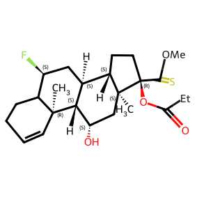 CCC(=O)O[C@]1(C(=S)OC)CC[C@H]2[C@@H]3C[C@H](F)C4CCC=C[C@]4(C)[C@H]3[C@@H](O)C[C@@]21C